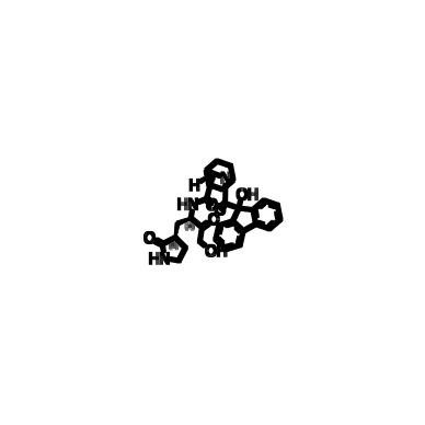 O=C1NCC[C@@H]1C[C@@H](NC(=O)[C@@H]1C2CCC(CC2)N1C(=O)C1(O)c2ccccc2-c2ccccc21)C(=O)CO